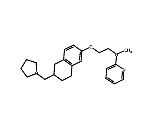 CN(CCOc1ccc2c(c1)CCC(CN1CCCC1)C2)c1ccccn1